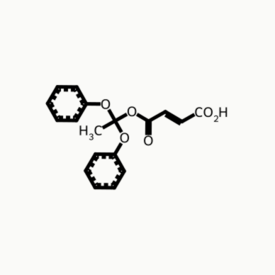 CC(OC(=O)C=CC(=O)O)(Oc1ccccc1)Oc1ccccc1